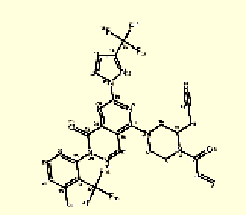 C=CC(=O)N1CCN(c2nc(-n3ccc(C(F)(F)F)n3)nc3c(=O)n(-c4cccc(C)c4C(F)(F)F)ncc23)CC1CC#N